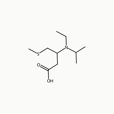 CCN(C(C)C)C(CSC)CC(=O)O